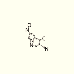 N#Cc1cnn2cc(N=O)cc2c1Cl